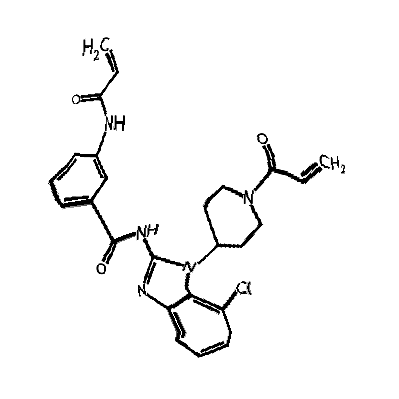 C=CC(=O)Nc1cccc(C(=O)Nc2nc3cccc(Cl)c3n2C2CCN(C(=O)C=C)CC2)c1